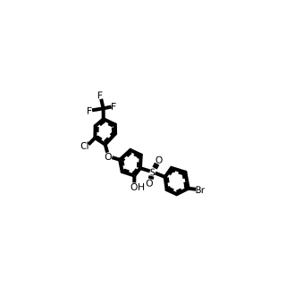 O=S(=O)(c1ccc(Br)cc1)c1ccc(Oc2ccc(C(F)(F)F)cc2Cl)cc1O